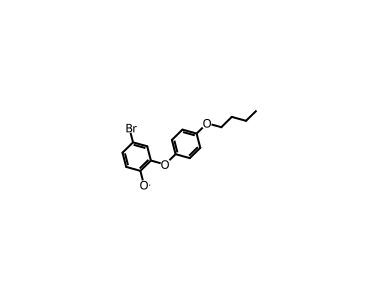 CCCCOc1ccc(Oc2cc(Br)ccc2[O])cc1